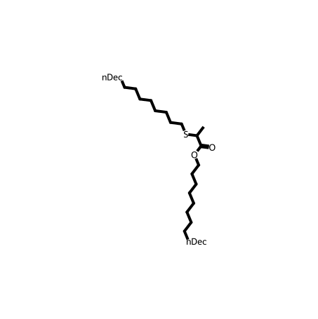 CCCCCCCCCCCCCCCCCCOC(=O)C(C)SCCCCCCCCCCCCCCCCCC